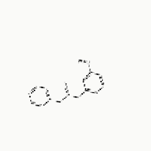 COc1cccc(CC(=O)Cc2ccccc2)c1